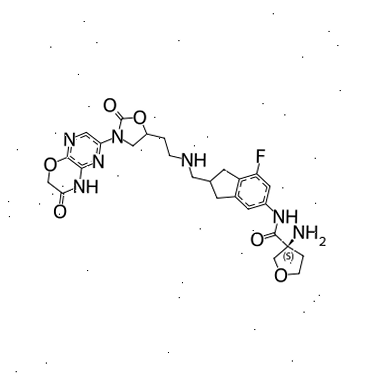 N[C@@]1(C(=O)Nc2cc(F)c3c(c2)CC(CNCCC2CN(c4cnc5c(n4)NC(=O)CO5)C(=O)O2)C3)CCOC1